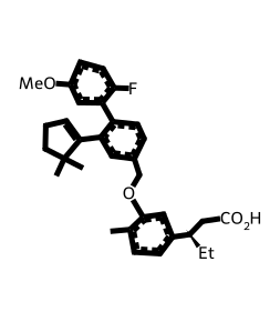 CC[C@H](CC(=O)O)c1ccc(C)c(OCc2ccc(-c3cc(OC)ccc3F)c(C3=CCCC3(C)C)c2)c1